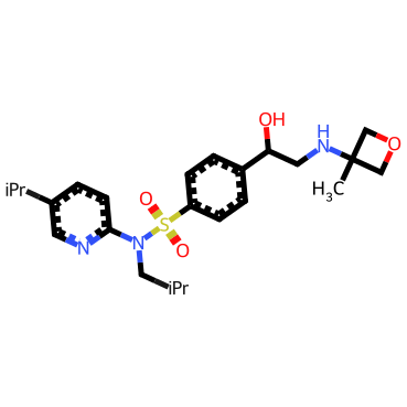 CC(C)CN(c1ccc(C(C)C)cn1)S(=O)(=O)c1ccc(C(O)CNC2(C)COC2)cc1